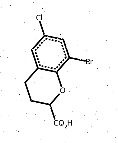 O=C(O)C1CCc2cc(Cl)cc(Br)c2O1